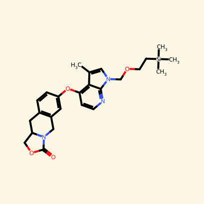 Cc1cn(COCC[Si](C)(C)C)c2nccc(Oc3ccc4c(c3)CN3C(=O)OCC3C4)c12